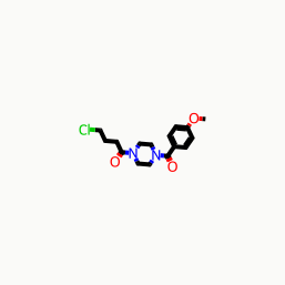 COc1ccc(C(=O)N2CCN(C(=O)CCCCl)CC2)cc1